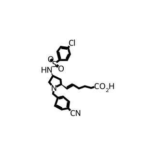 N#Cc1ccc(CN2C[C@H](NS(=O)(=O)c3ccc(Cl)cc3)C[C@H]2C=CCCCC(=O)O)cc1